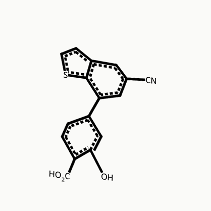 N#Cc1cc(-c2ccc(C(=O)O)c(O)c2)c2sccc2c1